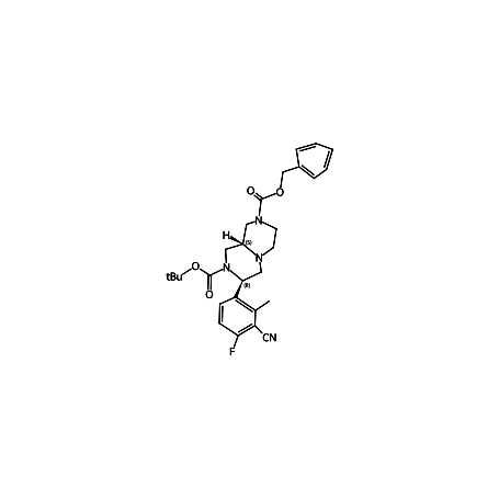 Cc1c([C@@H]2CN3CCN(C(=O)OCc4ccccc4)C[C@H]3CN2C(=O)OC(C)(C)C)ccc(F)c1C#N